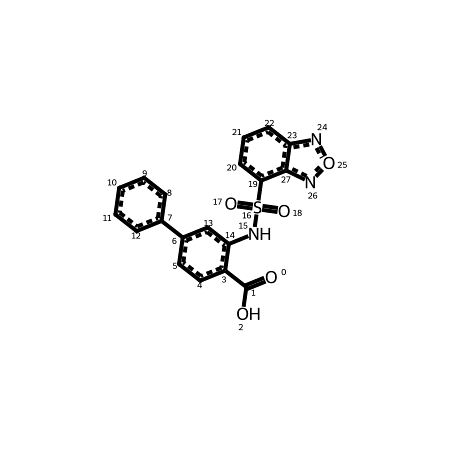 O=C(O)c1ccc(-c2ccccc2)cc1NS(=O)(=O)c1cccc2nonc12